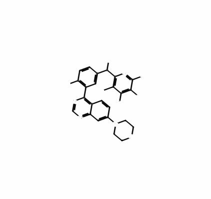 Cc1c(C(O)c2ccc(F)c(-c3ncnc4cc(N5CCOCC5)ccc34)c2)nc(F)c(F)c1F